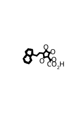 O=C(O)C(=O)C1C(=O)C(=O)C(CCc2cccc3ccccc23)C1=O